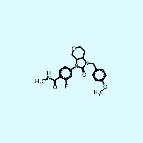 CNC(=O)c1ccc(N2C(=O)N(Cc3ccc(OC)cc3)C3CCOCC32)cc1F